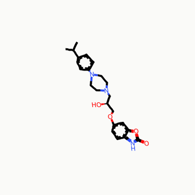 CC(C)c1ccc(N2CCN(C[C@H](O)COc3ccc4[nH]c(=O)oc4c3)CC2)cc1